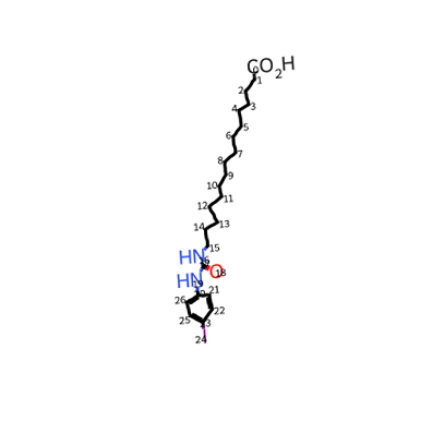 O=C(O)CCCCCCCCCCCCCCCNC(=O)Nc1ccc(I)cc1